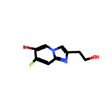 OCCc1cn2cc(Br)c(F)cc2n1